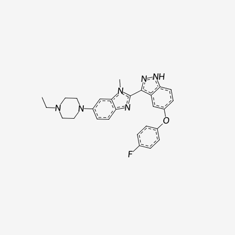 CCN1CCN(c2ccc3nc(-c4n[nH]c5ccc(Oc6ccc(F)cc6)cc45)n(C)c3c2)CC1